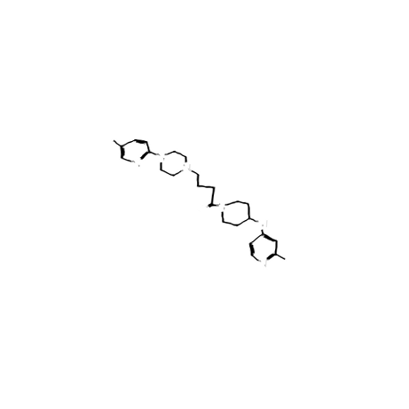 Cc1ccc(N2CCN(CCCC(=O)N3CCC(Nc4ccnc(C)c4)CC3)CC2)nc1